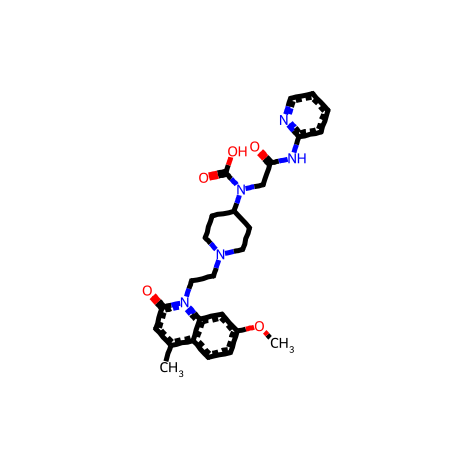 COc1ccc2c(C)cc(=O)n(CCN3CCC(N(CC(=O)Nc4ccccn4)C(=O)O)CC3)c2c1